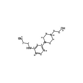 CC(C)(C)CCNc1cc(N2CCN(CCO)CC2)ncn1